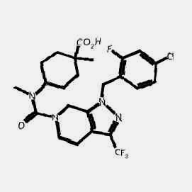 CN(C(=O)N1CCc2c(C(F)(F)F)nn(Cc3ccc(Cl)cc3F)c2C1)C1CCC(C)(C(=O)O)CC1